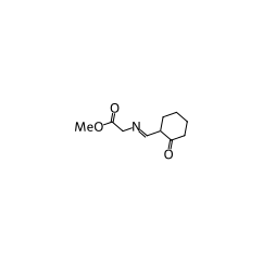 COC(=O)C/N=C/C1CCCCC1=O